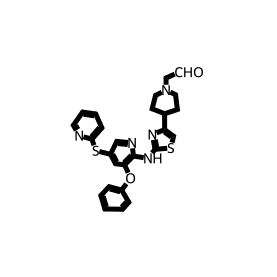 O=CCN1CCC(c2csc(Nc3ncc(Sc4ccccn4)cc3Oc3ccccc3)n2)CC1